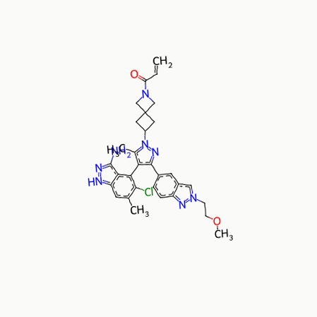 C=CC(=O)N1CC2(CC(n3nc(-c4ccc5nn(CCOC)cc5c4)c(-c4c(Cl)c(C)cc5[nH]nc(N)c45)c3C)C2)C1